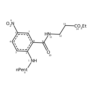 CCCCCNc1ccc([N+](=O)[O-])cc1C(=O)NCCC(=O)OCC